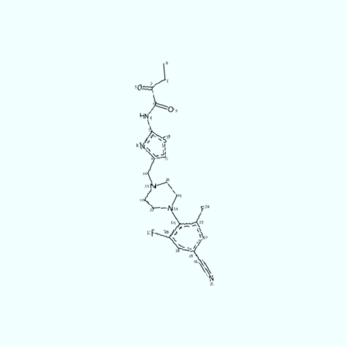 CCC(=O)C(=O)Nc1nc(CN2CCN(c3c(F)cc(C#N)cc3F)CC2)cs1